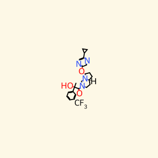 CC(O)(C(=O)N1CC[C@@H]2CC[C@H](Oc3cnc(C4CC4)cn3)N2C1)c1cccc(C(F)(F)F)c1